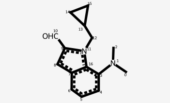 CN(C)c1cccc2cc(C=O)n(CC3CC3)c12